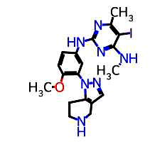 CNc1nc(Nc2ccc(OC)c(-n3ncc4c3CCNC4)c2)nc(C)c1I